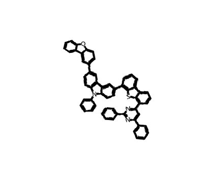 c1ccc(-c2cc(-c3cccc4c3sc3c(-c5ccc6c(c5)c5cc(-c7ccc8oc9ccccc9c8c7)ccc5n6-c5ccccc5)cccc34)nc(-c3ccccc3)n2)cc1